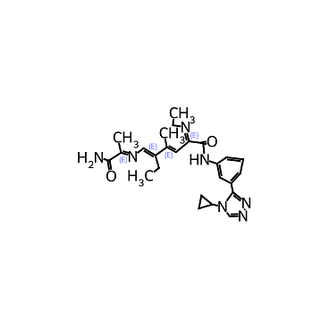 CC\N=C(/C=C(C)/C(=C/N=C(\C)C(N)=O)CC)C(=O)Nc1cccc(-c2nncn2C2CC2)c1